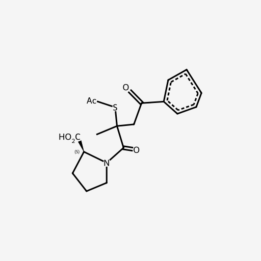 CC(=O)SC(C)(CC(=O)c1ccccc1)C(=O)N1CCC[C@H]1C(=O)O